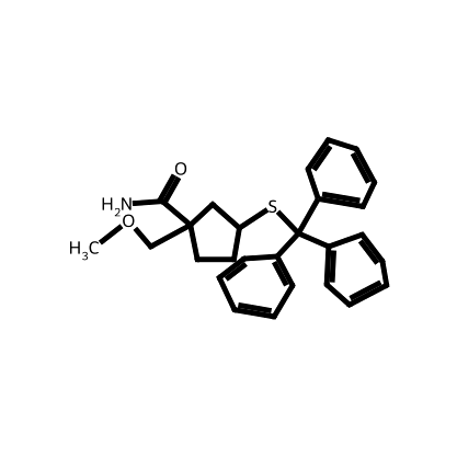 COCC1(C(N)=O)CCC(SC(c2ccccc2)(c2ccccc2)c2ccccc2)C1